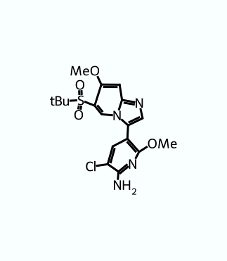 COc1cc2ncc(-c3cc(Cl)c(N)nc3OC)n2cc1S(=O)(=O)C(C)(C)C